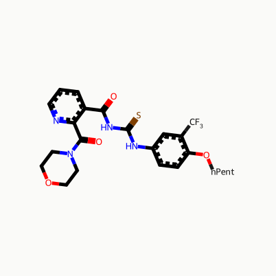 CCCCCOc1ccc(NC(=S)NC(=O)c2cccnc2C(=O)N2CCOCC2)cc1C(F)(F)F